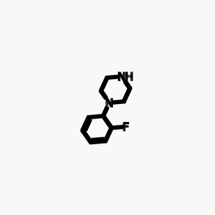 FC1C=CC=CC1N1CCNCC1